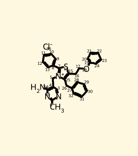 Cc1ncc(C[n+]2c(-c3ccccc3)sc(CCOc3ccccc3)c2Cc2ccccc2)c(N)n1.[Cl-]